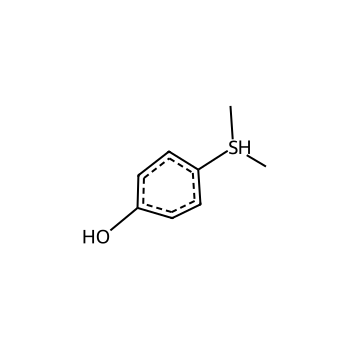 C[SH](C)c1ccc(O)cc1